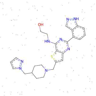 OCCNc1nc(-c2cccc3[nH]ncc23)nc2cc(CN3CCC(Cn4cccn4)CC3)sc12